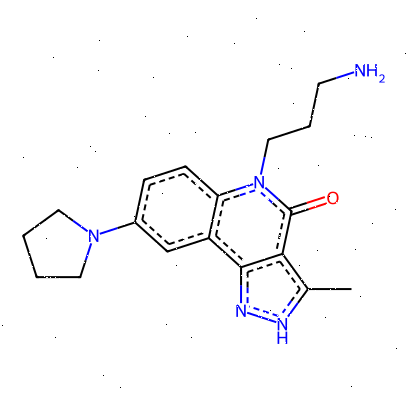 Cc1[nH]nc2c1c(=O)n(CCCN)c1ccc(N3CCCC3)cc21